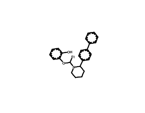 CCC(Oc1ccccc1O)N1CCCCC1c1ccc(-c2ccccc2)cc1